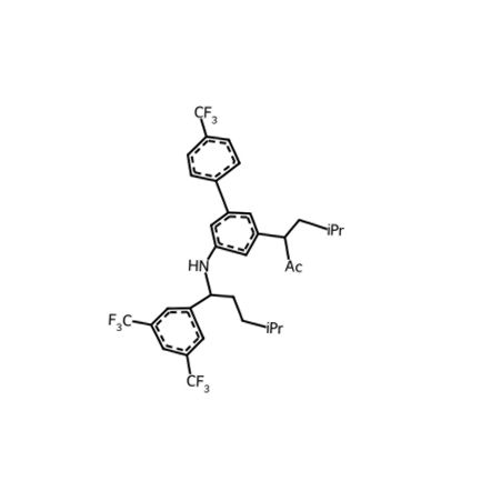 CC(=O)C(CC(C)C)c1cc(NC(CCC(C)C)c2cc(C(F)(F)F)cc(C(F)(F)F)c2)cc(-c2ccc(C(F)(F)F)cc2)c1